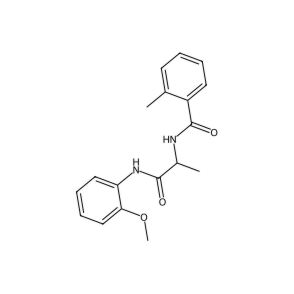 COc1ccccc1NC(=O)C(C)NC(=O)c1ccccc1C